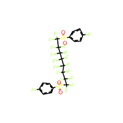 O=S(=O)(c1ccc(F)cc1)C(F)(F)C(F)(F)C(F)(F)C(F)(F)C(F)(F)C(F)(F)C(F)(F)C(F)(F)S(=O)(=O)c1ccc(F)cc1